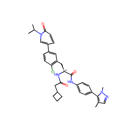 Cc1cnn(C)c1-c1ccc(NC(=O)[C@H](Cc2cc(-c3ccc(=O)n(C(C)C)c3)ccc2Cl)NC(=O)CC2CCC2)cc1